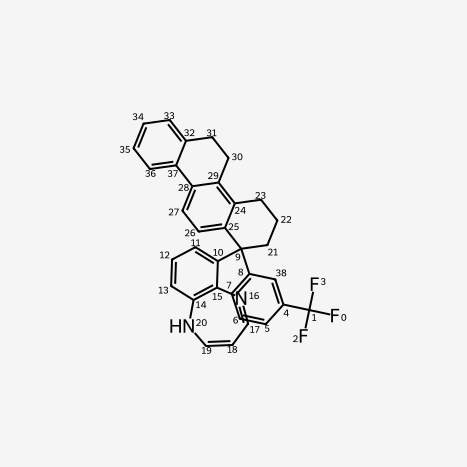 FC(F)(F)c1cccc(C2(c3cccc4c3N=CC=CN4)CCCc3c2ccc2c3CCc3ccccc3-2)c1